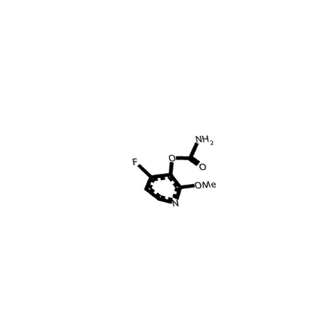 COc1nccc(F)c1OC(N)=O